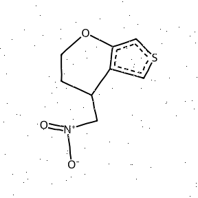 O=[N+]([O-])CC1CCOc2cscc21